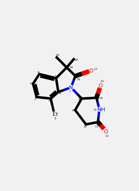 CCc1cccc2c1N(C1CCC(=O)NC1=O)C(=O)C2(C)C